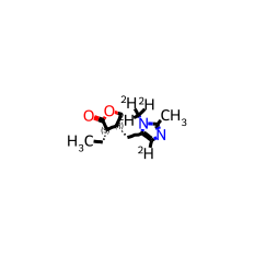 [2H]c1nc(C)n(C([2H])([2H])[2H])c1C[C@H]1COC(=O)[C@H]1CC